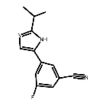 CC(C)c1ncc(-c2cc(F)cc(C#N)c2)[nH]1